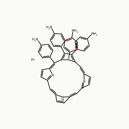 Nc1ccc(-c2c(-c3ccc(N)cc3)c3c(-c4ccc(N)cc4)c4nc(cc5ccc(cc6nc(cc2n3-c2ccc(N)cc2)C=C6)[nH]5)C=C4)cc1.[Pt]